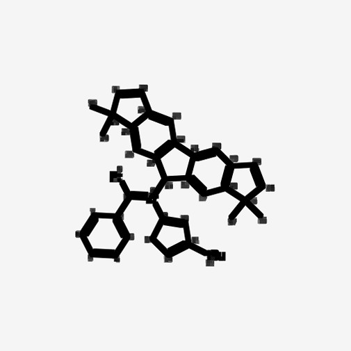 CC[C](c1ccccc1)=[Zr]([C]1=CC(C(C)(C)C)=CC1)[CH]1c2cc3c(cc2-c2cc4c(cc21)C(C)(C)C=C4)C=CC3(C)C